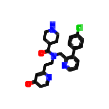 O=C1C=C(CCN(Cc2ncccc2-c2ccc(Cl)cc2)C(=O)C2CCNCC2)N=CC1